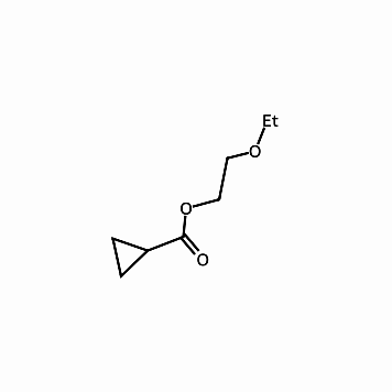 CCOCCOC(=O)C1CC1